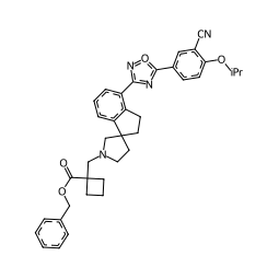 CC(C)Oc1ccc(-c2nc(-c3cccc4c3CCC43CCN(CC4(C(=O)OCc5ccccc5)CCC4)C3)no2)cc1C#N